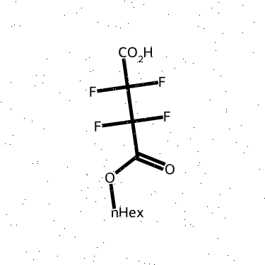 CCCCCCOC(=O)C(F)(F)C(F)(F)C(=O)O